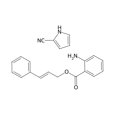 N#Cc1ccc[nH]1.Nc1ccccc1C(=O)OCC=Cc1ccccc1